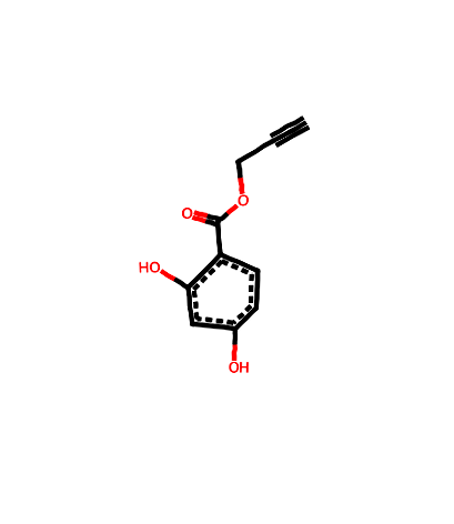 C#CCOC(=O)c1ccc(O)cc1O